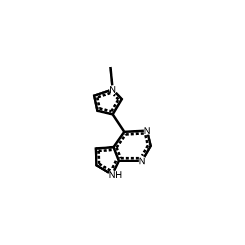 Cn1ccc(-c2ncnc3[nH]ccc23)c1